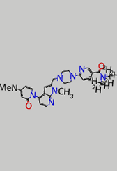 [2H]C([2H])([2H])N(C(=O)c1ccc(N2CCN(Cc3cc4c(-n5ccc(NC)cc5=O)ccnc4n3C)CC2)nc1)C([2H])([2H])[2H]